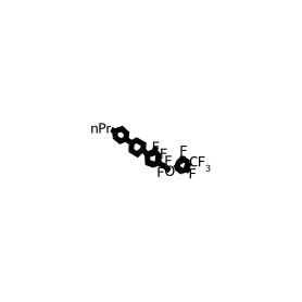 CCCC1CCC(C2CCC(c3ccc(C(F)(F)Oc4cc(F)c(C(F)(F)F)c(F)c4)c(F)c3F)CC2)CC1